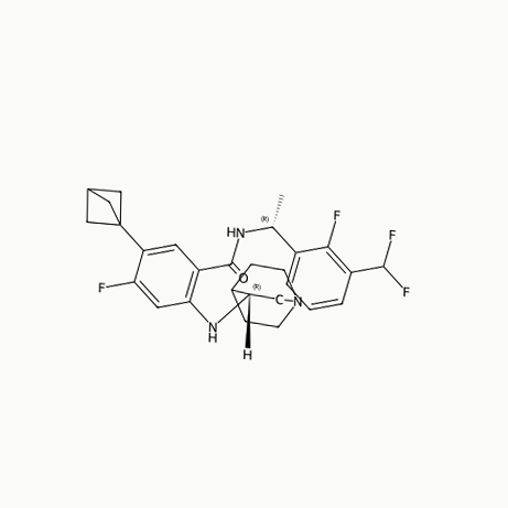 C[C@@H](NC(=O)c1cc(C23CC(C2)C3)c(F)cc1N[C@H]1CN2CCC1CC2)c1cccc(C(F)F)c1F